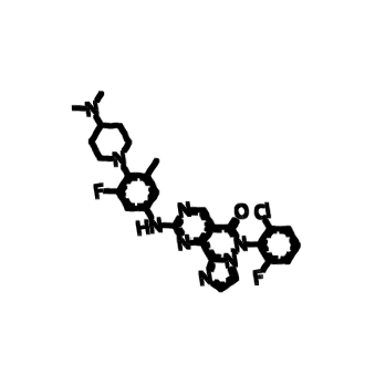 Cc1cc(Nc2ncc3c(=O)n(-c4c(F)cccc4Cl)n4ccnc4c3n2)cc(F)c1N1CCC(N(C)C)CC1